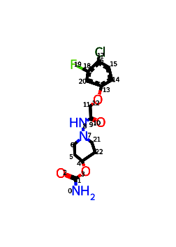 NC(=O)OC1CCN(NC(=O)COc2ccc(Cl)c(F)c2)CC1